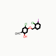 O=Cc1cc(Cl)c(OCc2cccc(I)c2Cl)cc1O